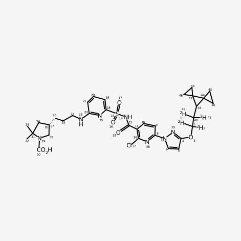 [2H]C([2H])(Oc1ccn(-c2ccc(C(=O)NS(=O)(=O)c3cccc(NCCC[C@@H]4CN(C(=O)O)C(C)(C)C4)n3)c(Cl)n2)n1)C([2H])([2H])C1C2(CC2)C12CC2